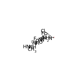 CC(=N)NCC[C@@H]1CCC[C@@H](c2c(F)cc(-n3cc4cc(-c5cc(CCCC(N)C6CC6)cc(Cl)c5F)[nH]c4nc3=O)cc2F)N1